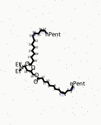 CCCCC/C=C\C/C=C\CCCCCCCC(=O)OCC(CCN(CC)CC)OC(=O)CCCCCCC/C=C\C/C=C\CCCCC